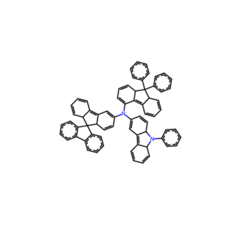 C1=CC2=C3C=C(N(C4=CC5=C6C=CC=CC6C6(c7ccccc7-c7ccccc76)C5C=C4)C4=CC=CC5C4=C4C=CC=CC4C5(c4ccccc4)c4ccccc4)C=CC3N(c3ccccc3)C2C=C1